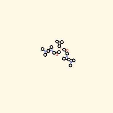 c1ccc(-n2c3ccccc3c3cc4c(cc32)c2ccccc2n4-c2ccc3oc4ccc(B(c5ccc6oc7ccc(-n8c9ccccc9c9cc%10c(cc98)c8ccccc8n%10-c8ccccc8)cc7c6c5)c5ccc6c7ccccc7c7ccccc7c6c5)cc4c3c2)cc1